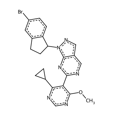 COc1ncnc(C2CC2)c1-c1ncc2cnn(C3CCc4cc(Br)ccc43)c2n1